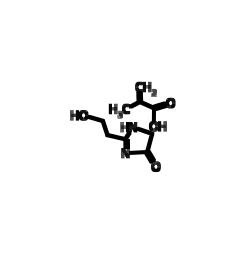 C=C(C)C(=O)O.O=C1CNC(CCO)=N1